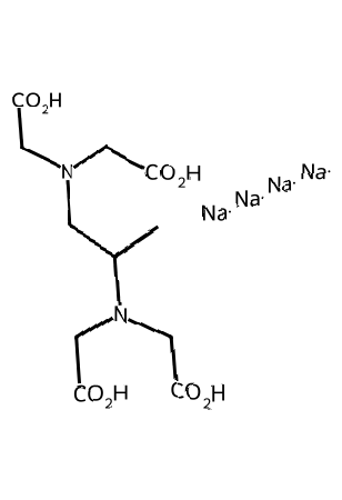 CC(CN(CC(=O)O)CC(=O)O)N(CC(=O)O)CC(=O)O.[Na].[Na].[Na].[Na]